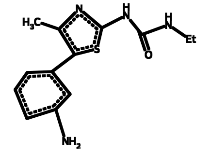 CCNC(=O)Nc1nc(C)c(-c2cccc(N)c2)s1